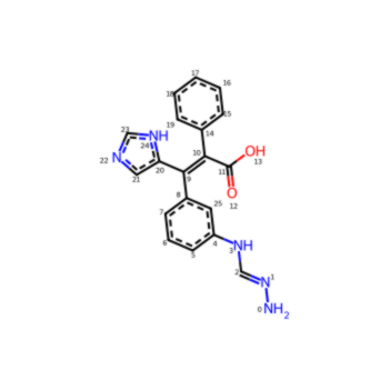 NN=CNc1cccc(C(=C(C(=O)O)c2ccccc2)c2cnc[nH]2)c1